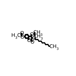 CCCCCCCCCCOc1c(OC(C)C)c2ccc(OC(C)=O)cc2oc1=O